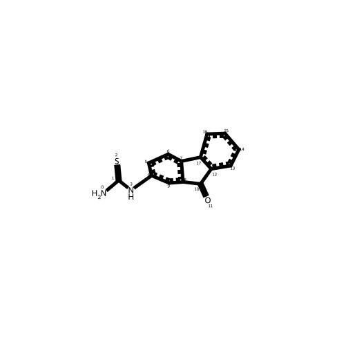 NC(=S)Nc1ccc2c(c1)C(=O)c1ccccc1-2